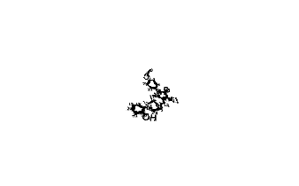 COc1ccc(-n2c(=O)c(Cl)c(CN3CCN(c4ccccc4O)CC3)n2C)cc1